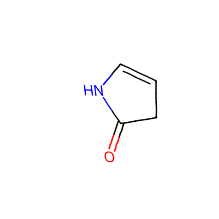 O=C1CC=CN1